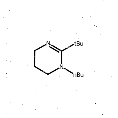 CCCCN1CCCN=C1C(C)(C)C